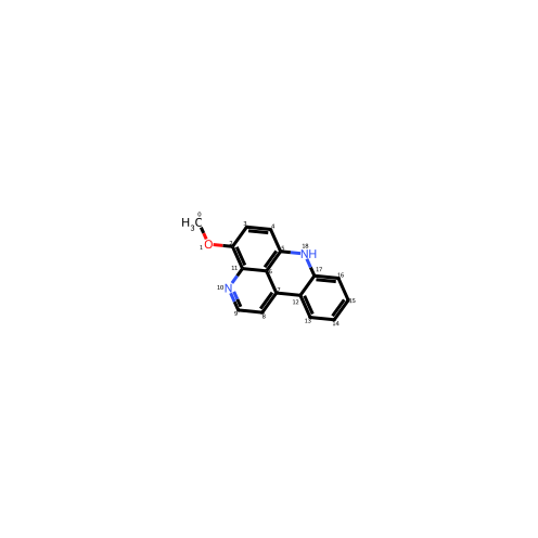 COc1ccc2c3c(ccnc13)-c1ccccc1N2